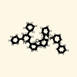 c1ccc(-c2cccc(-n3c4ccccc4c4c5oc6c(-c7cc(-c8ccccc8)cc(-c8ccccc8)n7)cccc6c5ccc43)c2)cc1